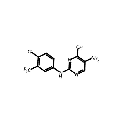 Nc1cnc(Nc2ccc(Cl)c(C(F)(F)F)c2)nc1O